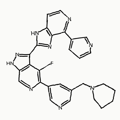 Fc1c(-c2cncc(CN3CCCCC3)c2)ncc2[nH]nc(-c3nc4c(-c5cccnc5)nccc4[nH]3)c12